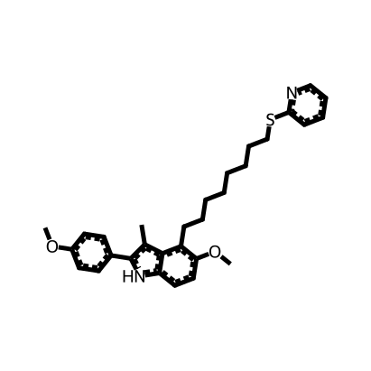 COc1ccc(-c2[nH]c3ccc(OC)c(CCCCCCCCSc4ccccn4)c3c2C)cc1